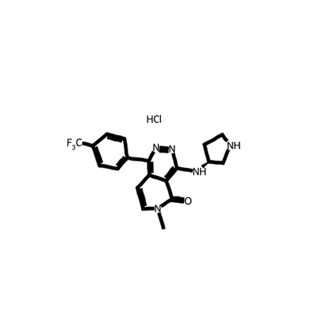 Cl.Cn1ccc2c(-c3ccc(C(F)(F)F)cc3)nnc(N[C@H]3CCNC3)c2c1=O